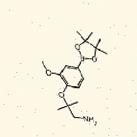 COc1cc(B2OC(C)(C)C(C)(C)O2)ccc1OC(C)(C)CN